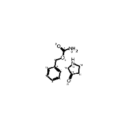 NC(=O)OCc1ccccc1.O=C1CCNC1